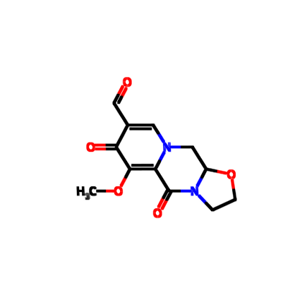 COc1c2n(cc(C=O)c1=O)CC1OCCN1C2=O